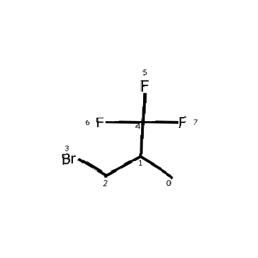 CC(CBr)C(F)(F)F